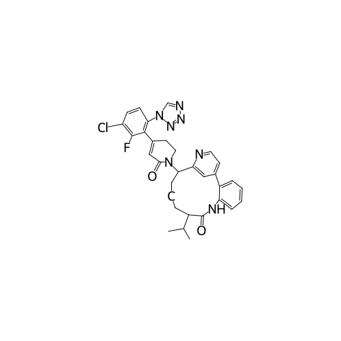 CC(C)C1CCCC(N2CCC(c3c(-n4cnnn4)ccc(Cl)c3F)=CC2=O)c2cc(ccn2)-c2ccccc2NC1=O